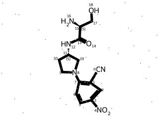 N#Cc1cc([N+](=O)[O-])ccc1N1CC[C@H](NC(=O)[C@@H](N)CO)C1